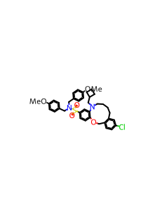 COc1ccc(CN(Cc2ccc(OC)cc2)S(=O)(=O)c2ccc3c(c2)N(CC2CCC2)CCCCc2cc(Cl)ccc2CO3)cc1